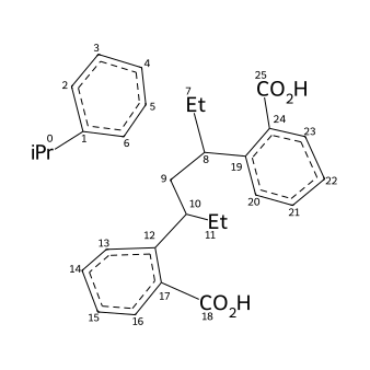 CC(C)c1ccccc1.CCC(CC(CC)c1ccccc1C(=O)O)c1ccccc1C(=O)O